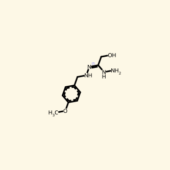 COc1ccc(CN/N=C(/CO)NN)cc1